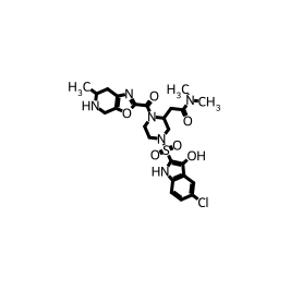 CC1Cc2nc(C(=O)N3CCN(S(=O)(=O)c4[nH]c5ccc(Cl)cc5c4O)CC3CC(=O)N(C)C)oc2CN1